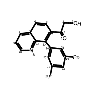 O=C(CO)c1ccc2cccnc2c1-c1cc(F)cc(F)c1